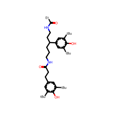 CCC(=O)NCCC(CCCNC(=O)CCc1cc(C(C)(C)C)c(O)c(C(C)(C)C)c1)c1cc(C(C)(C)C)c(O)c(C(C)(C)C)c1